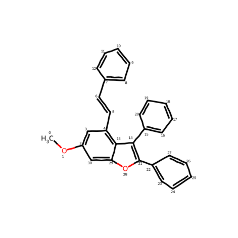 COc1cc(C=Cc2ccccc2)c2c(-c3ccccc3)c(-c3ccccc3)oc2c1